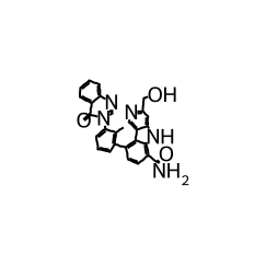 Cc1c(-c2ccc(C(N)=O)c3[nH]c4cc(CO)ncc4c23)cccc1-n1cnc2ccccc2c1=O